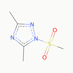 Cc1nc(C)n(S(C)(=O)=O)n1